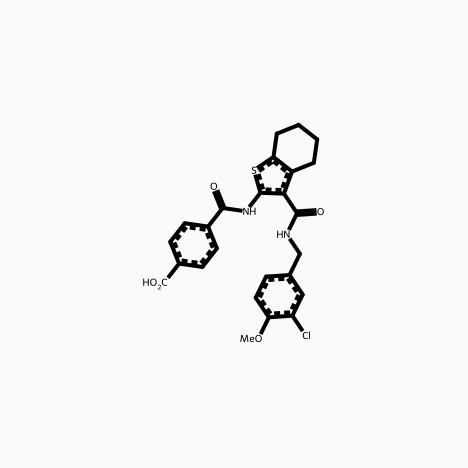 COc1ccc(CNC(=O)c2c(NC(=O)c3ccc(C(=O)O)cc3)sc3c2CCCC3)cc1Cl